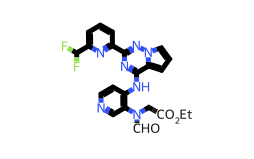 CCOC(=O)CN(C=O)c1cnccc1Nc1nc(-c2cccc(C(F)F)n2)nn2cccc12